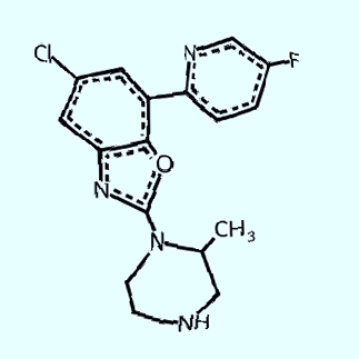 CC1CNCCN1c1nc2cc(Cl)cc(-c3ccc(F)cn3)c2o1